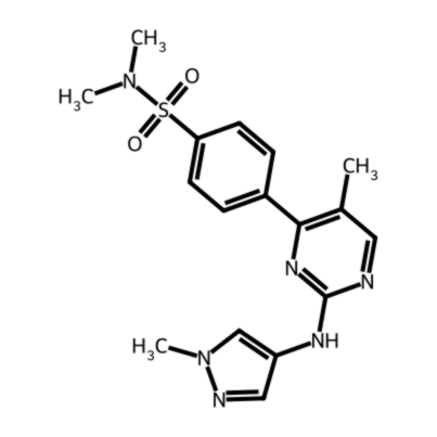 Cc1cnc(Nc2cnn(C)c2)nc1-c1ccc(S(=O)(=O)N(C)C)cc1